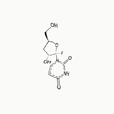 O=c1ccn([C@]2(F)O[C@H](CO)C[C@H]2O)c(=O)[nH]1